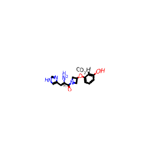 N[C@H](Cc1c[nH]cn1)C(=O)N1CC(Oc2cccc(O)c2C(=O)O)C1